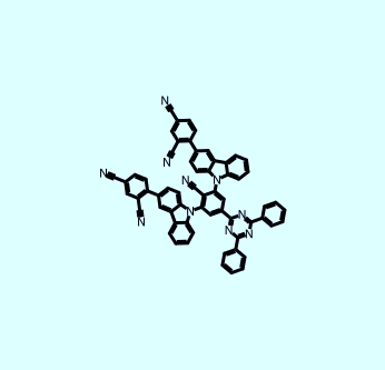 N#Cc1ccc(-c2ccc3c(c2)c2ccccc2n3-c2cc(-c3nc(-c4ccccc4)nc(-c4ccccc4)n3)cc(-n3c4ccccc4c4cc(-c5ccc(C#N)cc5C#N)ccc43)c2C#N)c(C#N)c1